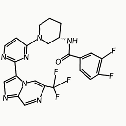 O=C(N[C@H]1CCCN(c2ccnc(-c3cnc4cnc(C(F)(F)F)cn34)n2)C1)c1ccc(F)c(F)c1